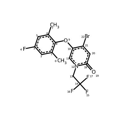 Cc1cc(F)cc(C)c1Oc1cn(CC(F)(F)F)c(=O)cc1Br